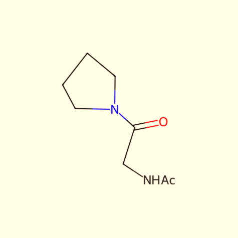 CC(=O)NCC(=O)N1CCCC1